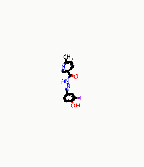 Cc1ccc(C(=O)N/N=C/c2ccc(O)c(I)c2)cn1